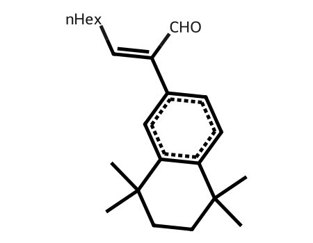 CCCCCCC=C(C=O)c1ccc2c(c1)C(C)(C)CCC2(C)C